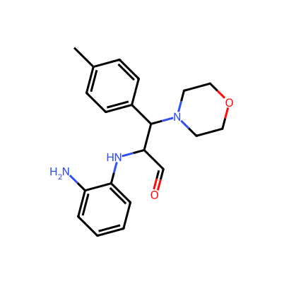 Cc1ccc(C(C(C=O)Nc2ccccc2N)N2CCOCC2)cc1